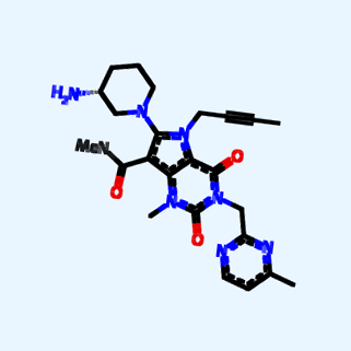 CC#CCn1c(N2CCC[C@@H](N)C2)c(C(=O)NC)c2c1c(=O)n(Cc1nccc(C)n1)c(=O)n2C